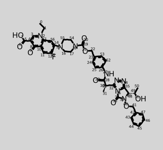 CCn1cc(C(=O)O)c(=O)c2cc(F)c(N3CCN(C(=O)OCc4ccc(NC(=O)[C@H](C)c5nnc6n5C(=O)N(OCc5ccccc5)[C@H]6C(C)O)cc4)CC3)cc21